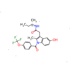 CC[C@H](C)NC(=O)Cc1c(C)n(C(=O)c2ccc(OC(F)(F)F)cc2)c2ccc(O)cc12